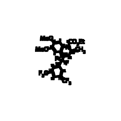 CCOC(=O)N1c2cc(OC)c(OC)cc2[C@H](C(F)(F)c2cc(C(F)(F)F)cc(C(F)(F)F)c2)C[C@@H]1C